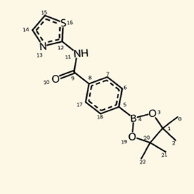 CC1(C)OB(c2ccc(C(=O)Nc3nccs3)cc2)OC1(C)C